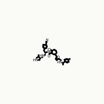 Cc1ccc(C(C)NCc2ccc(C3=CC(C(=O)N[C@@H](CNC[C@H]4CNCC4C)Cc4ccc(C#N)cc4)=C(Cl)C=CC3)o2)cc1